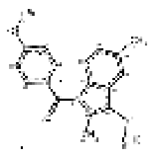 CCCCOc1ccc(C(=O)n2c(C)c(CC=O)c3cc(C)ccc32)cc1